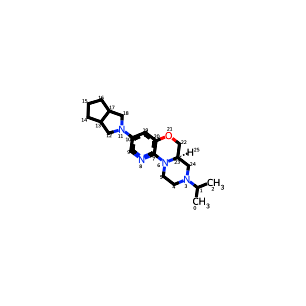 CC(C)N1CCN2c3ncc(N4CC5CCCC5C4)cc3OC[C@H]2C1